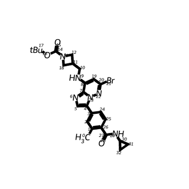 Cc1cc(-c2cnc3c(NCC4CN(C(=O)OC(C)(C)C)C4)cc(Br)nn23)ccc1C(=O)NC1CC1